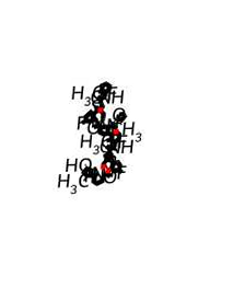 Cc1cccc(F)c1NC(=O)c1cc2c(s1)-c1ccc(F)cc1N(C(=O)c1ccc(-c3ccc(F)c(NC(=O)c4cc5c(s4)-c4ccc(F)cc4N(C(=O)c4cccc(N6C[C@@H](O)C[C@@H]6C)n4)CC5)c3C)c(N(C)C[C@H]3CCCO3)n1)CC2